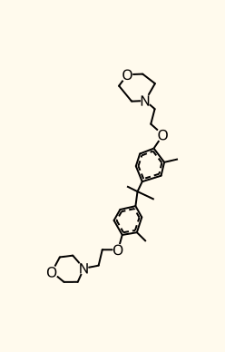 Cc1cc(C(C)(C)c2ccc(OCCN3CCOCC3)c(C)c2)ccc1OCCN1CCOCC1